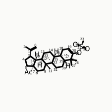 C=C(C)[C@@H]1CC[C@]2(C(C)=O)CC[C@]3(C)[C@H](CC[C@@H]4[C@@]5(C)CC=C(OS(C)(=O)=O)C(C)(C)[C@@H]5CC[C@]43C)[C@@H]12